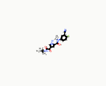 CN(C(=O)c1cc(C(=O)C(=O)NC(C)(C)C)c[nH]1)c1ccc(F)c(C#N)c1